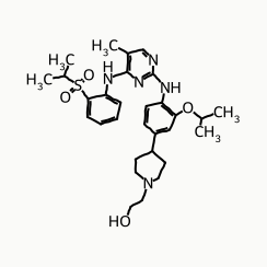 Cc1cnc(Nc2ccc(C3CCN(CCO)CC3)cc2OC(C)C)nc1Nc1ccccc1S(=O)(=O)C(C)C